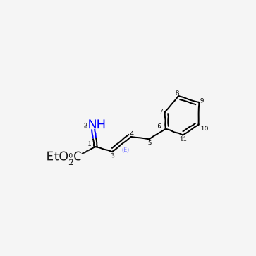 CCOC(=O)C(=N)/C=C/Cc1ccccc1